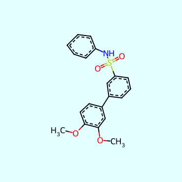 COc1ccc(-c2cccc(S(=O)(=O)Nc3ccccc3)c2)cc1OC